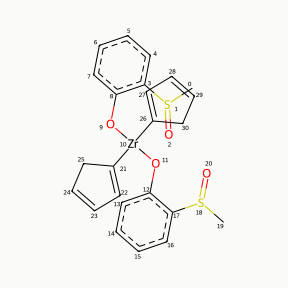 CS(=O)c1ccccc1[O][Zr]([O]c1ccccc1S(C)=O)([C]1=CC=CC1)[C]1=CC=CC1